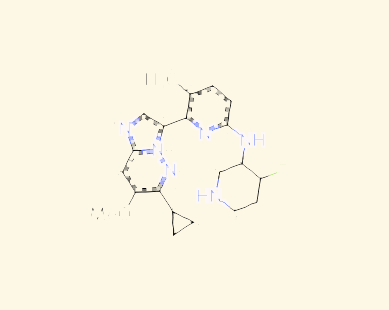 COc1cc2ncc(-c3nc(NC4CNCCC4F)ccc3C)n2nc1C1CC1